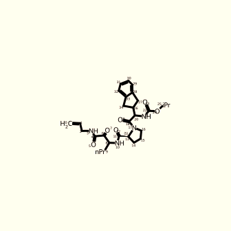 C=CCNC(=O)C(=O)C(CCC)NC(=O)[C@@H]1CCCN1C(=O)C(NC(=O)OC(C)C)C1Cc2ccccc2C1